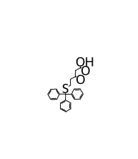 O=C(O)CC(=O)CCSC(c1ccccc1)(c1ccccc1)c1ccccc1